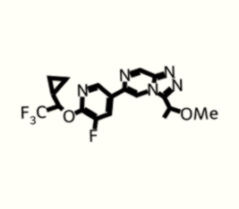 COC(C)c1nnc2cnc(-c3cnc(OC(C4CC4)C(F)(F)F)c(F)c3)cn12